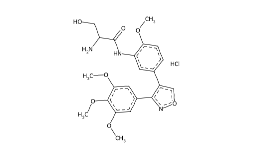 COc1ccc(-c2conc2-c2cc(OC)c(OC)c(OC)c2)cc1NC(=O)C(N)CO.Cl